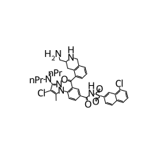 CCCN(CCC)c1nn(-c2ccc(C(=O)NS(=O)(=O)c3ccc4cccc(Cl)c4c3)cc2C(=O)c2cccc3c2CC(CN)NC3)c(C)c1Cl